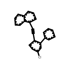 Clc1ccc(C#Cc2cccc3ccccc23)c(-c2ccccc2)c1